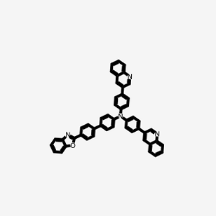 c1ccc2ncc(-c3ccc(N(c4ccc(-c5ccc(-c6nc7ccccc7o6)cc5)cc4)c4ccc(-c5cnc6ccccc6c5)cc4)cc3)cc2c1